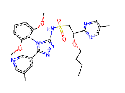 CCCCO[C@@H](CS(=O)(=O)Nc1nnc(-c2cncc(C)c2)n1-c1c(OC)cccc1OC)c1ncc(C)cn1